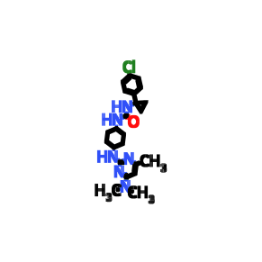 Cc1cc(N(C)C)nc(N[C@H]2CC[C@@H](NC(=O)NC3(c4ccc(Cl)cc4)CC3)CC2)n1